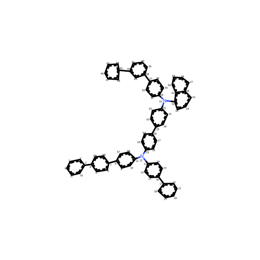 c1ccc(-c2ccc(-c3ccc(N(c4ccc(-c5ccccc5)cc4)c4ccc(-c5ccc(N(c6ccc(-c7cccc(-c8ccccc8)c7)cc6)c6cccc7ccccc67)cc5)cc4)cc3)cc2)cc1